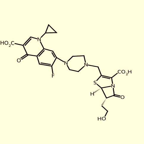 O=C(O)C1=C(CN2CCN(c3cc4c(cc3F)c(=O)c(C(=O)O)cn4C3CC3)CC2)S[C@@H]2[C@@H](CCO)C(=O)N12